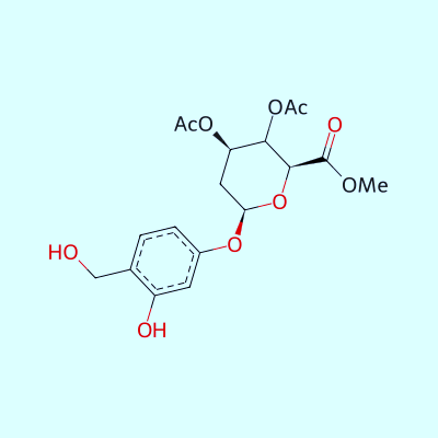 COC(=O)[C@H]1O[C@@H](Oc2ccc(CO)c(O)c2)C[C@@H](OC(C)=O)C1OC(C)=O